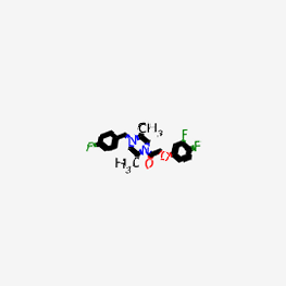 CC1CN(C(=O)COc2ccc(F)c(F)c2)C(C)CN1Cc1ccc(F)cc1